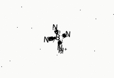 N#C[B-](C#N)(C#N)C#N.[H+]